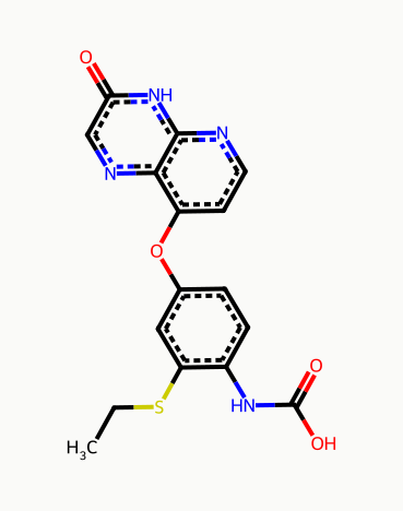 CCSc1cc(Oc2ccnc3[nH]c(=O)cnc23)ccc1NC(=O)O